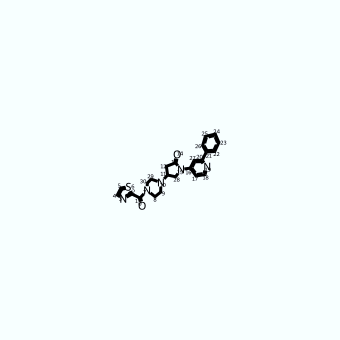 O=C(c1nccs1)N1CCN(C2CC(=O)N(c3ccnc(-c4ccccc4)c3)C2)CC1